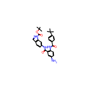 CC(C)(C)OC(=O)n1ncc2ccc(NC(=O)c3cc(N)ccc3NC(=O)c3ccc(C(C)(C)C)cc3)cc21